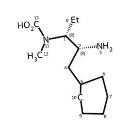 CC[C@H]([C@H](N)CC1CCCCC1)N(C)C(=O)O